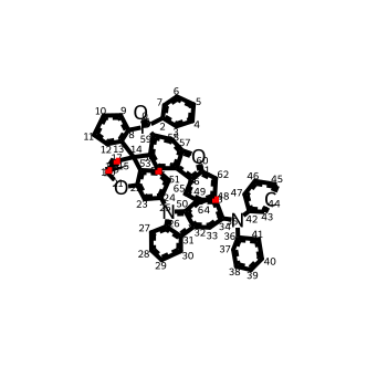 O=P1(c2ccccc2)c2ccccc2C2(c3ccccc3Oc3cc(-n4c5ccccc5c5cc(N(c6ccccc6)c6ccccc6)ccc54)ccc32)c2cc3c(cc21)oc1ccccc13